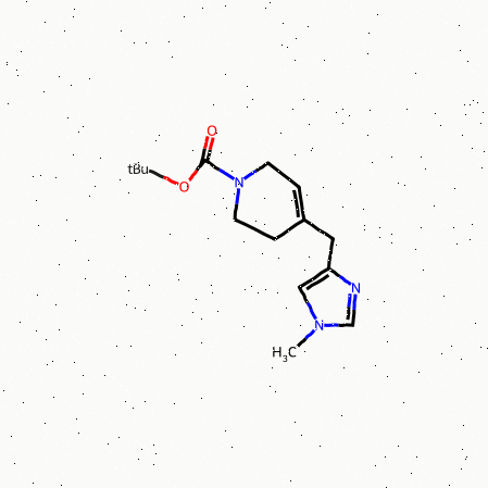 Cn1cnc(CC2=CCN(C(=O)OC(C)(C)C)CC2)c1